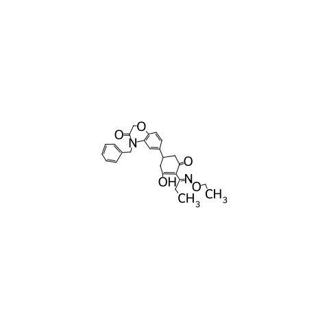 CCON=C(CC)C1=C(O)CC(c2ccc3c(c2)N(Cc2ccccc2)C(=O)CO3)CC1=O